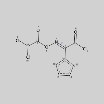 O=C(Cl)/C(=N/OC(=O)C(Cl)Cl)c1cccs1